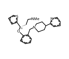 CNCC[C@H](Oc1ccccc1CN1CCC(c2ccccn2)CC1)c1cccs1